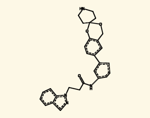 O=C(CCn1ncc2ccccc21)Nc1cccc(-c2ccc3c(c2)COC2(CCNCC2)O3)c1